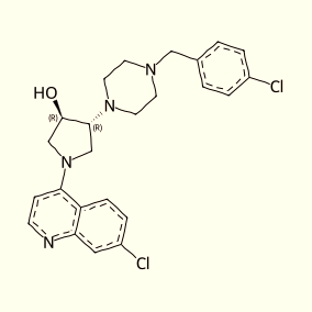 O[C@@H]1CN(c2ccnc3cc(Cl)ccc23)C[C@H]1N1CCN(Cc2ccc(Cl)cc2)CC1